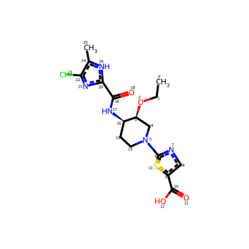 CCO[C@H]1CN(c2ncc(C(=O)O)s2)CC[C@H]1NC(=O)c1nc(Cl)c(C)[nH]1